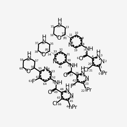 CC(C)c1n[nH]c(C(=O)Nc2ccc([C@H]3CNCCO3)nc2)c1Cl.CC(C)c1n[nH]c(C(=O)Nc2ccc([C@H]3CNCCO3)nc2)c1F.CCCc1n[nH]c(C(=O)Nc2cnc(C3CNCCO3)c(F)c2)c1Cl